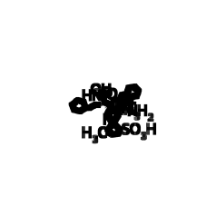 CCCC(Cc1ccccc1)(C(=O)NN)C(=O)[C@@H](c1cnccc1C)[C@H](CCCC1CCCCC1)C(=O)NO.Cc1ccc(S(=O)(=O)O)cc1